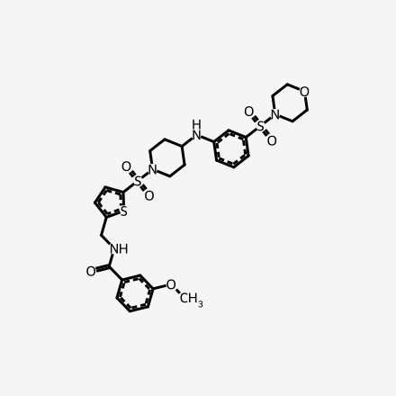 COc1cccc(C(=O)NCc2ccc(S(=O)(=O)N3CCC(Nc4cccc(S(=O)(=O)N5CCOCC5)c4)CC3)s2)c1